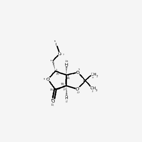 CC1(C)O[C@@H]2[C@@H](COI)OC(=O)[C@@H]2O1